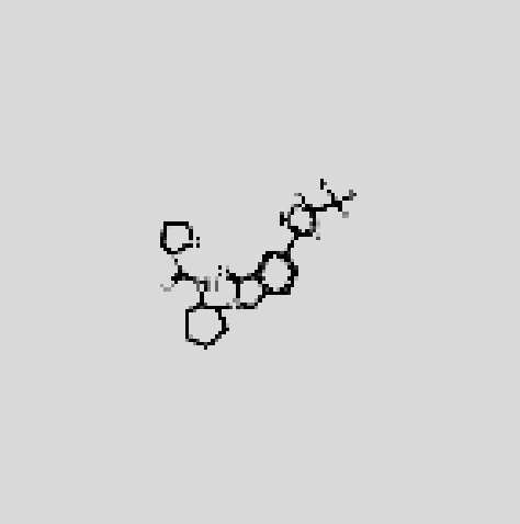 O=C(NC1CCCCC1N1Cc2ccc(-c3noc(C(F)(F)F)n3)cc2C1=O)[C@H]1CCCO1